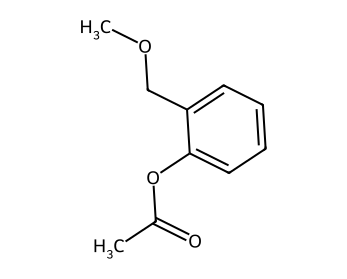 COCc1ccccc1OC(C)=O